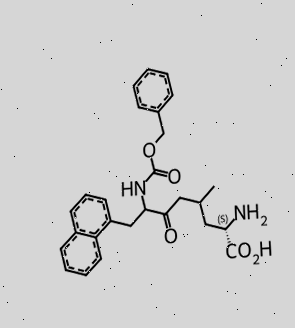 CC(CC(=O)C(Cc1cccc2ccccc12)NC(=O)OCc1ccccc1)C[C@H](N)C(=O)O